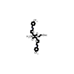 CCCCCCCCCCCCN1C(=O)C2=C(c3ccc(/C=C/c4ccc(C(F)(F)F)cc4)s3)N(C)C(=O)C2=C1c1ccc(/C=C/c2ccc(C(F)(F)F)cc2)s1